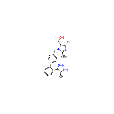 CCCCc1nc(Cl)c(CO)n1Cc1ccc(-c2ccccc2-c2nn[nH]c2C#N)cc1